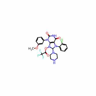 COc1cccc(-n2c3c(c(=O)[nH]c2=O)N(c2ccccc2Cl)C(N2CCNCC2)N3OC(=O)C(F)(F)F)c1